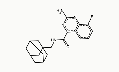 Nc1nc(C(=O)NCC23CC4CC(CC(C4)C2)C3)c2cccc(F)c2n1